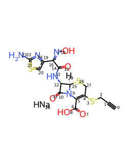 C#CCSC1=C(C(=O)O)N2C(=O)[C@@H](NC(=O)/C(=N\O)c3csc(N)n3)[C@H]2SC1.[NaH]